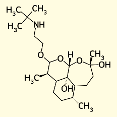 C[C@H]1C(OCCNC(C)(C)C)O[C@@H]2O[C@](C)(O)CCC3[C@H](C)CCC1[C@]32O